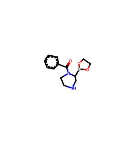 O=C(c1ccccc1)N1CCNCC1B1OCCO1